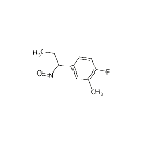 CCC(N=O)c1ccc(F)c(C)c1